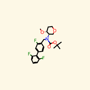 CO[C@@H]1CCOC[C@H]1N(Cc1ccc(-c2c(F)cccc2F)cc1F)C(=O)OC(C)(C)C